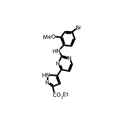 CCOC(=O)c1cc(-c2ccnc(Nc3ccc(Br)cc3OC)n2)[nH]n1